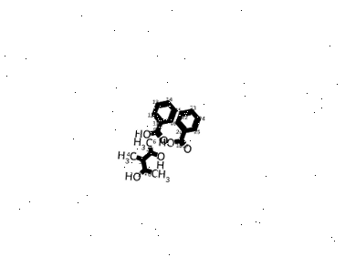 CC(O)C(C)C(C)O.O=C(O)c1ccccc1.O=C(O)c1ccccc1